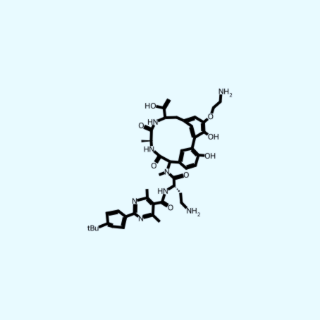 C=C(O)C1Cc2cc(OCCN)c(O)c(c2)-c2cc(ccc2O)C(N(C)C(=O)[C@H](CCN)NC(=O)c2c(C)nc(-c3ccc(C(C)(C)C)cc3)nc2C)C(=O)N[C@@H](C)C(=O)N1